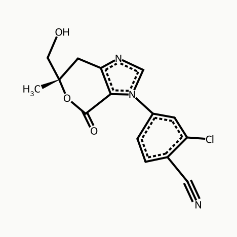 C[C@@]1(CO)Cc2ncn(-c3ccc(C#N)c(Cl)c3)c2C(=O)O1